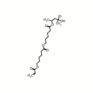 C=CC(=O)OCCCCCC(=O)OCCCCCC(=O)OC(C)CC(C)(O)CC